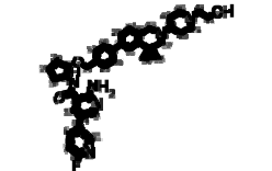 Nc1ncc(-c2ccc(F)nc2)cc1C(=O)N[C@H]1CCC[C@@H]1OCc1ccc(-c2ccc3c(c2)C2(CC2)CN(C2CCN(CCO)CC2)C3)cc1